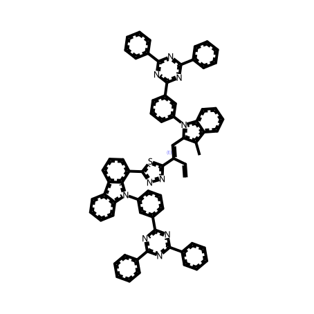 C=C/C(=C\c1c(C)c2ccccc2n1-c1cccc(-c2nc(-c3ccccc3)nc(-c3ccccc3)n2)c1)c1nnc(-c2cccc3c4ccccc4n(-c4cccc(-c5nc(-c6ccccc6)nc(-c6ccccc6)n5)c4)c23)s1